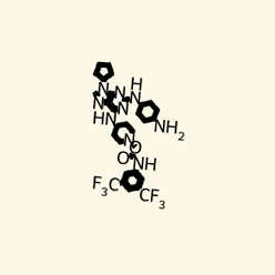 N[C@H]1CC[C@H](Nc2nc(NC3CCN(OC(=O)Nc4cc(C(F)(F)F)cc(C(F)(F)F)c4)CC3)c3ncn(C4CCCC4)c3n2)CC1